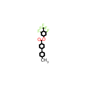 Cc1ccc(-c2ccc(C(=O)Oc3cc(F)c(C(F)(F)F)c(F)c3)cc2)cc1